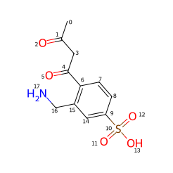 CC(=O)CC(=O)c1ccc(S(=O)(=O)O)cc1CN